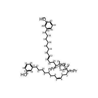 CCCC(CC/C=C\CCCCCCCc1cccc(O)c1)[Si](C)(C)O[Si](C)(C)C(CCC)CC/C=C/CCCCCCCc1cccc(O)c1